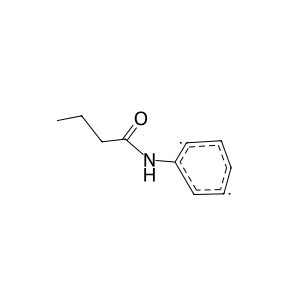 CCCC(=O)Nc1[c]cc[c]c1